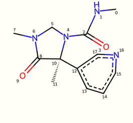 CNC(=O)N1CN(C)C(=O)[C@]1(C)c1cccnc1